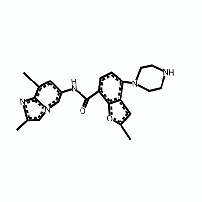 Cc1cn2cc(NC(=O)c3ccc(N4CCNCC4)c4cc(C)oc34)cc(C)c2n1